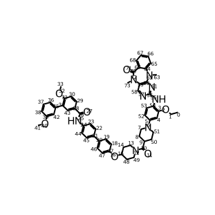 CCOc1cc(N2CCC(C(=O)N3CCC(Oc4ccc(-c5ccc(NC(=O)c6ccc(OC)c(-c7cccc(OC)c7)c6)cc5)cc4)CC3)CC2)ccc1Nc1ncc2c(n1)N(C)c1ccccc1C(=O)N2C